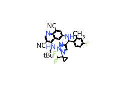 Cc1cc(F)ccc1C(Nc1cc(C#N)c2ncc(C#N)c(NCC(C)(C)C)c2c1)c1cn(C2(C(F)F)CC2)nn1